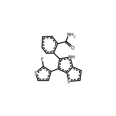 NC(=O)c1ccccc1-c1[nH]c2ccsc2c1-c1ccsc1F